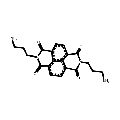 NCCCN1C(=O)c2ccc3c4c(ccc(c24)C1=O)C(=O)N(CCCN)C3=O